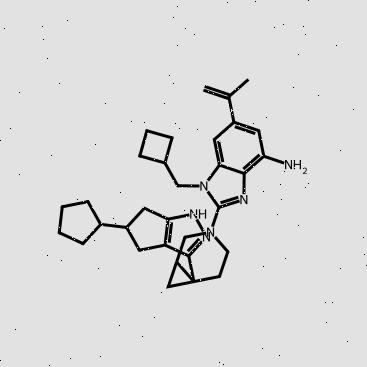 C=C(C)c1cc(N)c2nc(N3CCC4(c5n[nH]c6c5CC(C5CCCC5)C6)CC4C3)n(CC3CCC3)c2c1